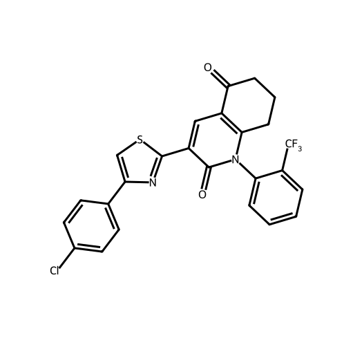 O=C1CCCc2c1cc(-c1nc(-c3ccc(Cl)cc3)cs1)c(=O)n2-c1ccccc1C(F)(F)F